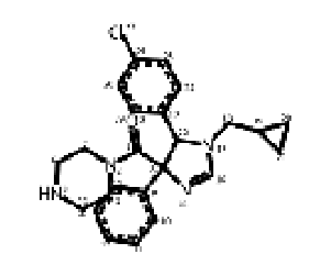 O=C(N1CCNCC1)C1(c2ccccc2)N=CN(CC2CC2)C1c1ccc(Cl)cc1